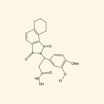 CCOc1cc(C(CC(=O)NO)N2C(=O)c3ccc4c(c3C2=O)CCCC4)ccc1OC